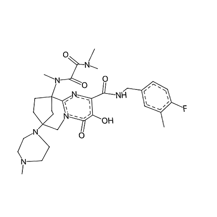 Cc1cc(CNC(=O)c2nc3n(c(=O)c2O)CC2(N4CCN(C)CC4)CCC3(N(C)C(=O)C(=O)N(C)C)CC2)ccc1F